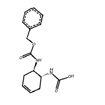 O=C(O)N[C@@H]1CC=CC[C@H]1NC(=O)OCc1ccccc1